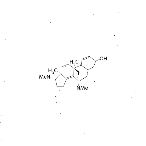 CN[C@H]1CC2CC(O)C=C[C@]2(C)[C@H]2CC[C@@]3(C)C(=C12)CC[C@@H]3NC